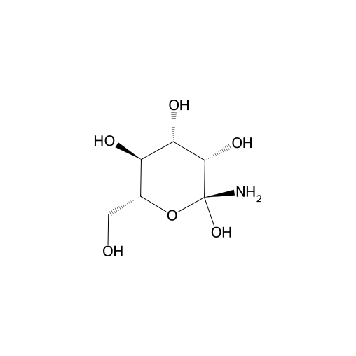 N[C@@]1(O)O[C@H](CO)[C@@H](O)[C@H](O)[C@@H]1O